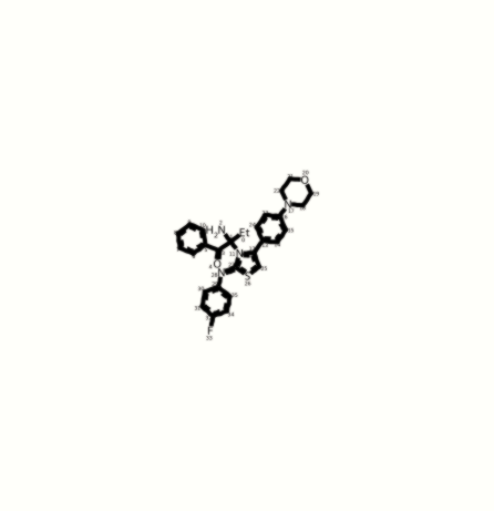 CCC(N)(C(=O)c1ccccc1)n1c(-c2ccc(N3CCOCC3)cc2)csc1=Nc1ccc(F)cc1